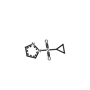 O=S(=O)(C1CC1)n1cc[c]n1